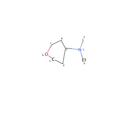 CCN(I)C1CCOCC1